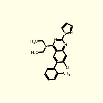 CCN(CC)c1nc(-n2cccn2)nc2cc(Cl)c(-c3ccccc3C)cc12